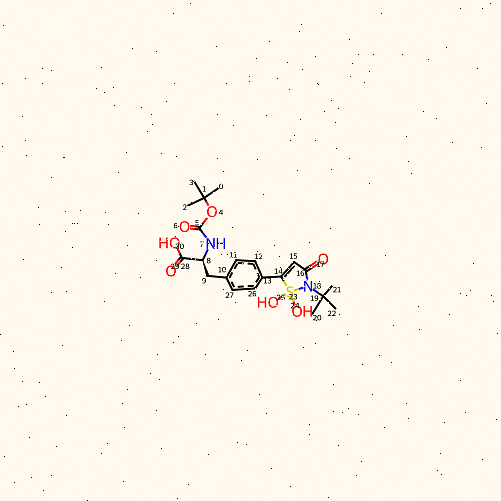 CC(C)(C)OC(=O)N[C@@H](Cc1ccc(C2=CC(=O)N(C(C)(C)C)S2(O)O)cc1)C(=O)O